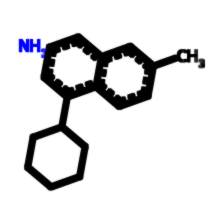 Cc1ccc2c(C3CCCCC3)cccc2c1.N